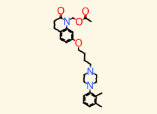 CC(=O)OCN1C(=O)CCc2ccc(OCCCCN3CCN(c4cccc(C)c4C)CC3)cc21